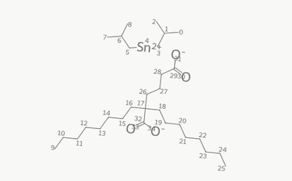 CC(C)[CH2][Sn+2][CH2]C(C)C.CCCCCCCCC(CCCCCCCC)(CCCC(=O)[O-])C(=O)[O-]